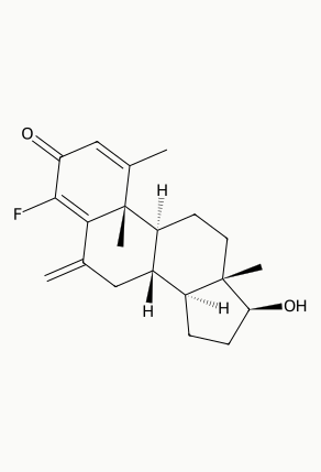 C=C1C[C@@H]2[C@H](CC[C@]3(C)[C@@H](O)CC[C@@H]23)[C@@]2(C)C(C)=CC(=O)C(F)=C12